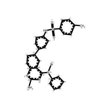 Cc1ccc(S(=O)(=O)Nc2ccc(-c3ccc4nc(N)nc(N(Br)c5ccccc5)c4c3)cc2)cc1